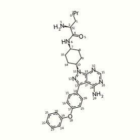 CC(C)C[C@H](N)C(=O)N[C@H]1CC[C@@H](n2nc(-c3ccc(Oc4ccccc4)cc3)c3c(N)ncnc32)CC1